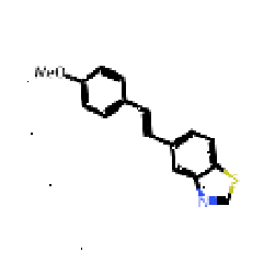 COc1ccc(C=Cc2ccc3scnc3c2)cc1